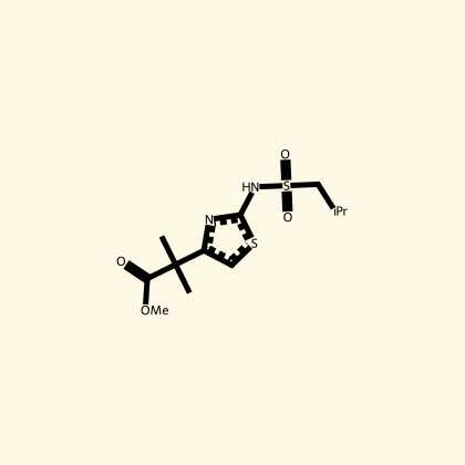 COC(=O)C(C)(C)c1csc(NS(=O)(=O)CC(C)C)n1